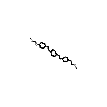 COCOc1ccc(/C=C/c2ccc(/C=C/c3ccc(OCOC)cc3)cc2)cc1